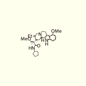 CC[C@@H]1CN2CCc3c([nH]c4cccc(OC)c34)[C@@H]2C[C@@H]1/C(=C\OC)C(=O)NC1CCCC1